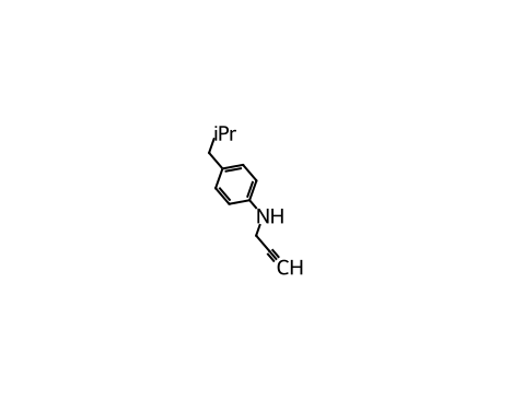 C#CCNc1ccc(CC(C)C)cc1